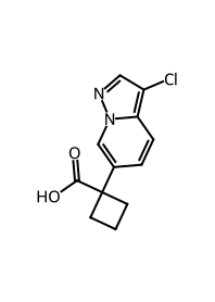 O=C(O)C1(c2ccc3c(Cl)cnn3c2)CCC1